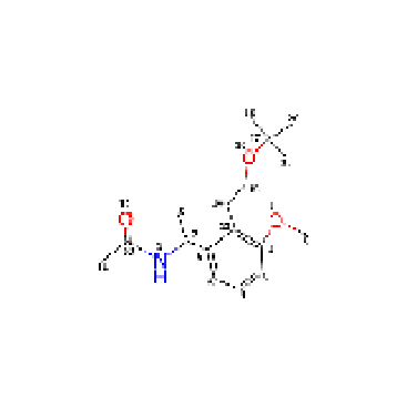 COc1cccc(C(C)NC(C)=O)c1CCOC(C)(C)C